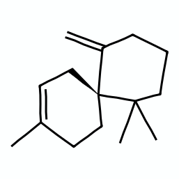 C=C1CCCC(C)(C)[C@@]12CC=C(C)CC2